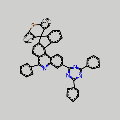 c1ccc(-c2nc(-c3ccccc3)nc(-c3ccc4c(c3)nc(-c3ccccc3)c3ccc5c(c34)-c3ccccc3C53c4ccccc4Sc4ccccc43)n2)cc1